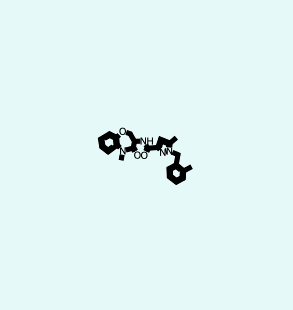 Cc1ccccc1Cn1nc(C(=O)NC2COc3ccccc3N(C)C2=O)cc1C